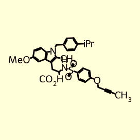 CC#CCOc1ccc(S(=O)(=O)NC(Cc2c(C)n(Cc3ccc(C(C)C)cc3)c3ccc(OC)cc23)C(=O)O)cc1